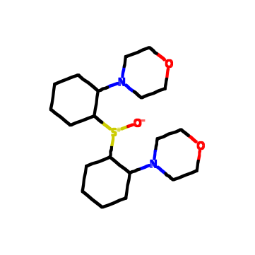 [O-][S+](C1CCCCC1N1CCOCC1)C1CCCCC1N1CCOCC1